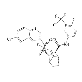 O=C(N[C@@H]1C2CCC(/C2=C/C(F)(F)F)[C@@H]1C(=O)Nc1ccc(F)c(C(F)(F)F)c1)c1cnc2ccc(Cl)cc2c1